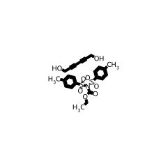 CCOC(=O)N(S(=O)(=O)c1ccc(C)cc1)S(=O)(=O)c1ccc(C)cc1.OCC#CC#CCO